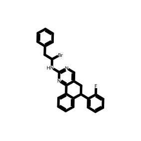 Fc1ccccc1C1Cc2cnc(NC(Br)Cc3ccccc3)nc2-c2ccccc21